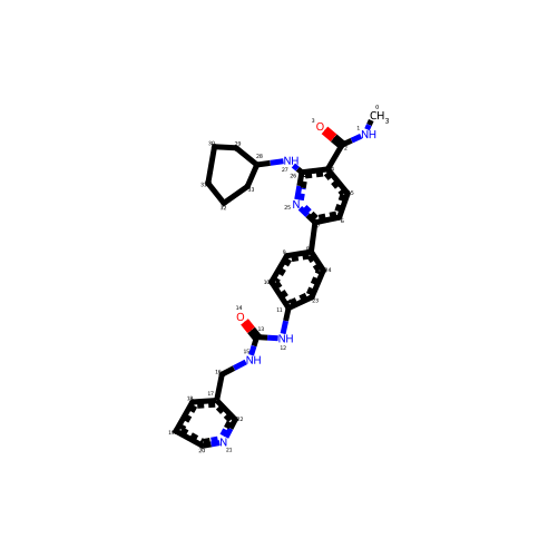 CNC(=O)c1ccc(-c2ccc(NC(=O)NCc3cccnc3)cc2)nc1NC1CCCCC1